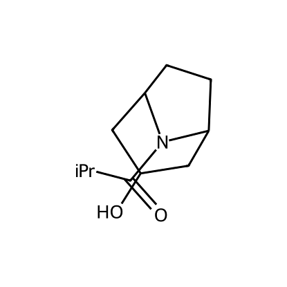 CC(C)C(=O)N1C2CCC1CC(O)C2